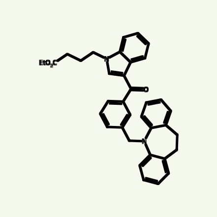 CCOC(=O)CCCn1cc(C(=O)c2cccc(CN3c4ccccc4CCc4ccccc43)c2)c2ccccc21